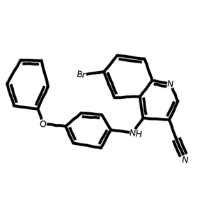 N#Cc1cnc2ccc(Br)cc2c1Nc1ccc(Oc2ccccc2)cc1